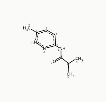 Cc1ccc(NC(=O)C(C)C)nn1